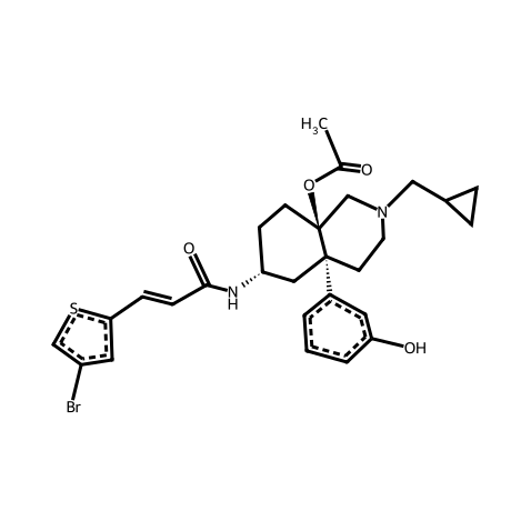 CC(=O)O[C@]12CC[C@@H](NC(=O)/C=C/c3cc(Br)cs3)C[C@]1(c1cccc(O)c1)CCN(CC1CC1)C2